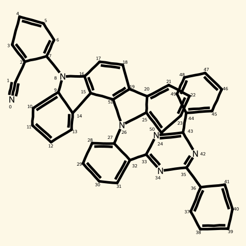 N#Cc1ccccc1-n1c2ccccc2c2c1ccc1c3ccccc3n(-c3ccccc3-c3nc(-c4ccccc4)nc(-c4ccccc4)n3)c12